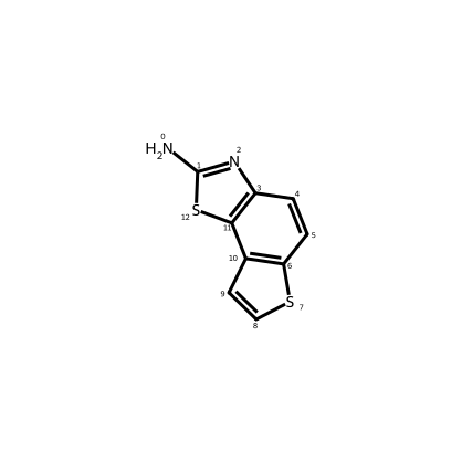 Nc1nc2ccc3sccc3c2s1